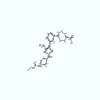 CCOC(=O)Nc1ccc(Nc2nc(N)n(-c3cc(N4CCCN(C(C)=O)CC4)ncn3)n2)cc1